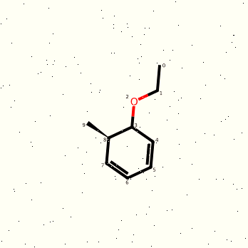 CCOC1C=CC=C[C@H]1C